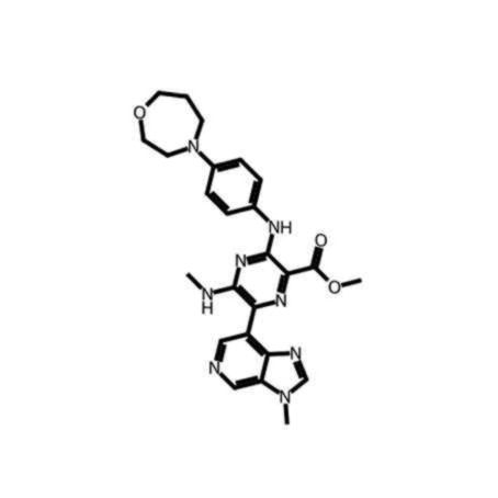 CNc1nc(Nc2ccc(N3CCCOCC3)cc2)c(C(=O)OC)nc1-c1cncc2c1ncn2C